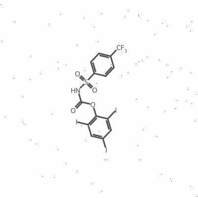 O=C(NS(=O)(=O)c1ccc(C(F)(F)F)cc1)Oc1c(I)cc(I)cc1I